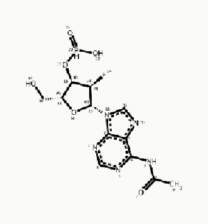 CC(=O)Nc1ncnc2c1ncn2[C@@H]1O[C@H](CO)[C@@H](O[PH](=O)O)[C@H]1F